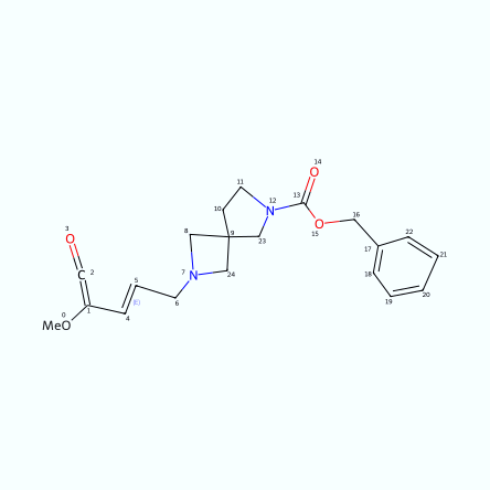 COC(=C=O)/C=C/CN1CC2(CCN(C(=O)OCc3ccccc3)C2)C1